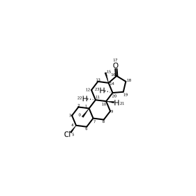 C[C@]12CC[C@H](Cl)CC1CC[C@@H]1[C@@H]2CC[C@]2(C)C(=O)CC[C@@H]12